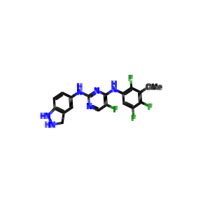 COc1c(F)c(F)cc(Nc2nc(Nc3ccc4c(c3)CNN4)ncc2F)c1F